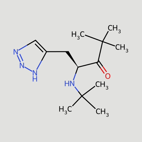 CC(C)(C)N[C@@H](Cc1cnn[nH]1)C(=O)C(C)(C)C